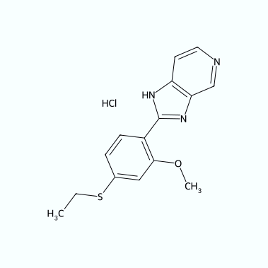 CCSc1ccc(-c2nc3cnccc3[nH]2)c(OC)c1.Cl